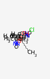 CCCCCCCCC(Cc1cc(-n2nc3ccc(Cl)cc3n2)c(O)c(C(C)(C)C)c1)C(=O)Oc1c(-n2nc3ccccc3n2)cc(C(C)(C)C)cc1C(C)(C)C